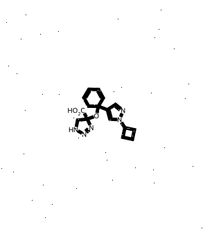 O=C(O)C1(OC2(c3cnn(C4CCC4)c3)C=CC=CC2)CNN=N1